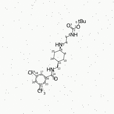 CC(C)(C)OC(=O)NCCN[C@H]1CC[C@@H](CNC(=O)c2cc(Cl)cc(C(F)(F)F)c2)CC1